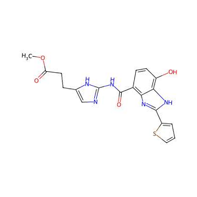 COC(=O)CCc1cnc(NC(=O)c2ccc(O)c3[nH]c(-c4cccs4)nc23)[nH]1